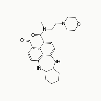 CN(CCN1CCOCC1)C(=O)c1ccc2c3c(ccc(C=O)c13)NC1CCCCC1N2